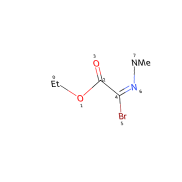 CCOC(=O)/C(Br)=N\NC